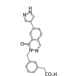 O=C(O)Cc1cccc(Cn2ncc3ccc(-c4cn[nH]c4)cc3c2=O)c1